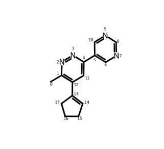 Cc1nnc(-c2cncnc2)cc1C1=CCCC1